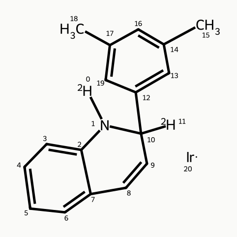 [2H]N1c2ccccc2C=CC1([2H])c1cc(C)cc(C)c1.[Ir]